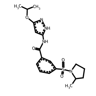 CC(C)Oc1cc(NC(=O)c2cccc(S(=O)(=O)N3CCCC3C)c2)[nH]n1